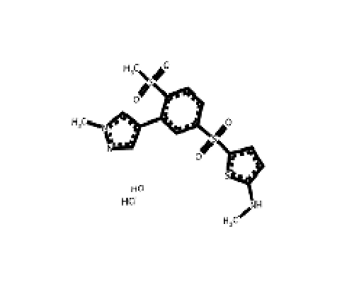 CNc1ccc(S(=O)(=O)c2ccc(S(C)(=O)=O)c(-c3cnn(C)c3)c2)s1.Cl.Cl